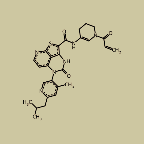 C=CC(=O)N1C=C(NC(=O)c2sc3nccc4c3c2NC(=O)N4c2cnc(CC(C)C)cc2C)CCC1